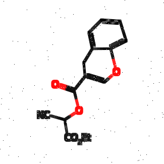 CCOC(=O)C(C#N)OC(=O)C1=COc2ccccc2C1